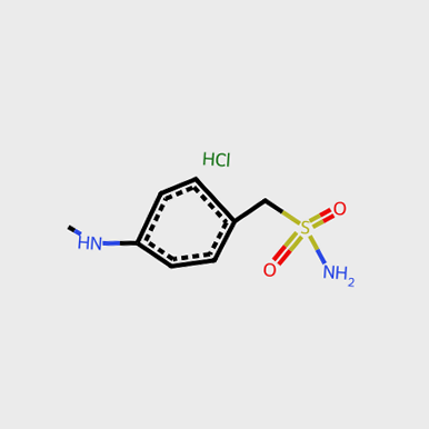 CNc1ccc(CS(N)(=O)=O)cc1.Cl